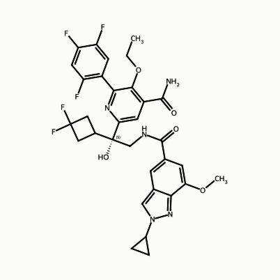 CCOc1c(C(N)=O)cc([C@@](O)(CNC(=O)c2cc(OC)c3nn(C4CC4)cc3c2)C2CC(F)(F)C2)nc1-c1cc(F)c(F)cc1F